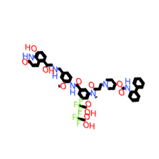 COc1cc(CNC[C@H](O)c2ccc(O)c3[nH]c(=O)ccc23)ccc1NC(=O)c1cccc(N(C)C(=O)CCN2CCC(OC(=O)Nc3ccccc3-c3ccccc3)CC2)c1.O=C(O)C(F)(F)F.O=C(O)C(F)(F)F